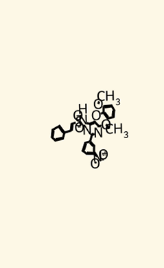 COc1ccccc1Oc1c(NS(=O)(=O)C=Cc2ccccc2)nc(-c2cccc([N+](=O)[O-])c2)nc1OC